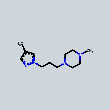 Cc1cnn(CCCN2CCN(C)CC2)c1